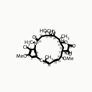 COc1cc2cc(c1Cl)N(C)C(=O)C[C@H](O)[C@]1(C)OC1[C@H](C)[C@@H]1C[C@@](O)(C(=O)C(=O)O1)[C@H](OC)/C=C/C=C(\C)C2